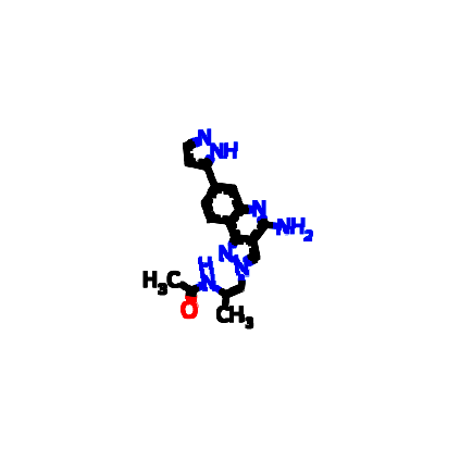 CC(=O)NC(C)Cn1cc2c(N)nc3cc(-c4ccn[nH]4)ccc3c2n1